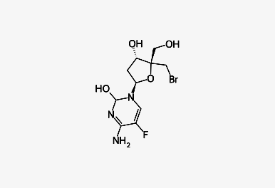 NC1=NC(O)N([C@H]2C[C@H](O)[C@](CO)(CBr)O2)C=C1F